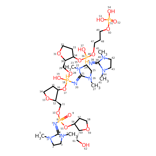 CN1CCN(C)C1=NP(=O)(OC[C@H]1OCCC1O[PH](O)(N=C1N(C)CCN1C)OC[C@H]1OCCC1O[PH](O)(N=C1N(C)CCN1C)OCCCOP(=O)(O)O)OC1CCO[C@@H]1CO